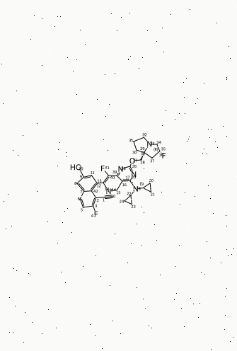 C#Cc1c(F)ccc2cc(O)cc(-c3ncc4c(N(C5CC5)C5CC5)nc(OC[C@@]56CCCN5C[C@H](F)C6)nc4c3F)c12